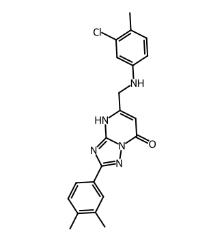 Cc1ccc(-c2nc3[nH]c(CNc4ccc(C)c(Cl)c4)cc(=O)n3n2)cc1C